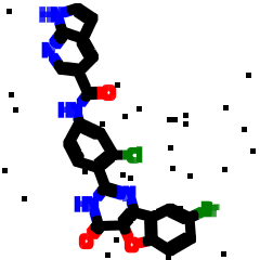 O=C(Nc1ccc(-c2nc3c(oc4ccc(Br)cc43)c(=O)[nH]2)c(Cl)c1)c1cnc2[nH]ccc2c1